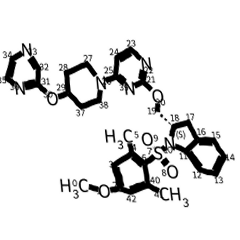 COc1cc(C)c(S(=O)(=O)N2c3ccccc3C[C@H]2COc2nccc(N3CCC(Oc4cnccn4)CC3)n2)c(C)c1